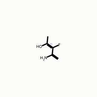 C=C(N)/C(F)=C(/C)O